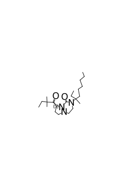 CCCCCCC(C)(CC)N1CCN2CC[C@@H](C(=O)C(C)(C)CC)N2C1=O